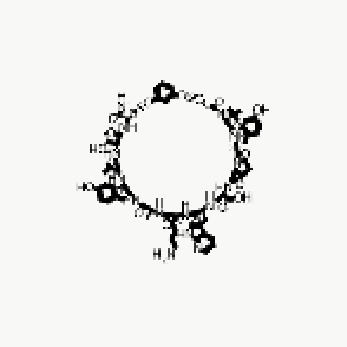 CC(C)[C@]1(C)NC(=O)[C@H](Cc2ccc(O)cc2)NC(=O)[C@H](C)NC(=O)[C@](C)(CCCCN)NC(=O)[C@H](Cc2c[nH]c3ncccc23)NC(=O)[C@H]([C@@H](C)O)NC(=O)[C@@H]2CCCN2C(=O)[C@H](Cc2ccc(O)cc2)NC(=O)[C@H](C(C)(C)C)NC(=O)CCSCc2cccc(c2)CSC[C@@H](C(N)=O)NC(=O)[C@H]([C@@H](C)O)NC1=O